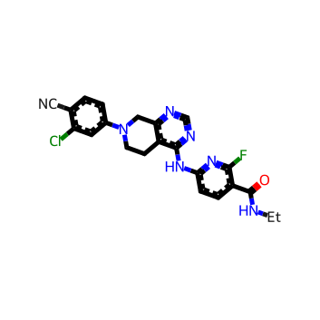 CCNC(=O)c1ccc(Nc2ncnc3c2CCN(c2ccc(C#N)c(Cl)c2)C3)nc1F